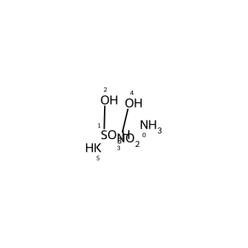 N.O=S(=O)(O)O.O=[N+]([O-])O.[KH]